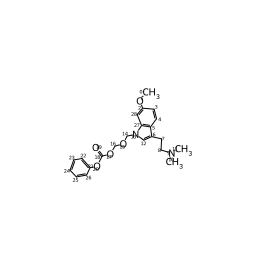 COc1ccc2c(CCN(C)C)cn(COCOC(=O)Oc3ccccc3)c2c1